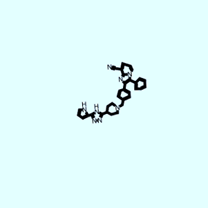 N#Cc1cccn2c(-c3ccccc3)c(-c3ccc(CN4CCC(c5nnc(-c6ccc[nH]6)[nH]5)CC4)cc3)nc12